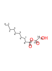 CCCCCCCCCC(=O)OC(=O)CO